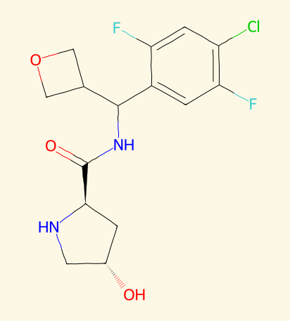 O=C(NC(c1cc(F)c(Cl)cc1F)C1COC1)[C@H]1C[C@H](O)CN1